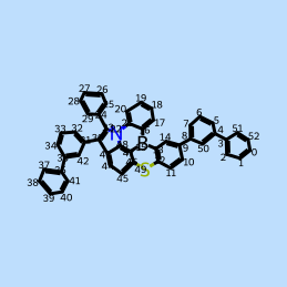 c1ccc(-c2cccc(-c3ccc4c(c3)B3c5ccccc5-n5c(-c6ccccc6)c(-c6cccc(-c7ccccc7)c6)c6ccc(c3c65)S4)c2)cc1